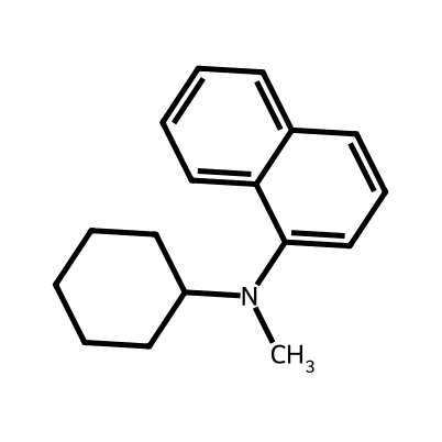 CN(c1cccc2ccccc12)C1CCCCC1